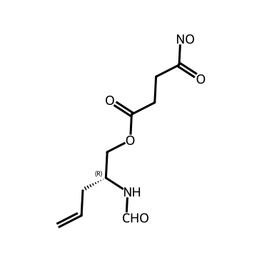 C=CC[C@H](COC(=O)CCC(=O)N=O)NC=O